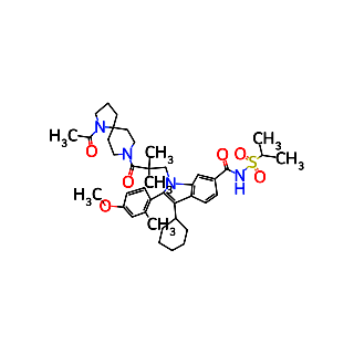 COc1ccc(-c2c(C3CCCCC3)c3ccc(C(=O)NS(=O)(=O)C(C)C)cc3n2CC(C)(C)C(=O)N2CCC3(CCCN3C(C)=O)CC2)c(C)c1